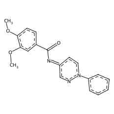 COc1ccc(C(=O)/N=c2\ccn(-c3ccccc3)nc2)cc1OC